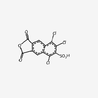 O=C1OC(=O)c2cc3c(Cl)c(S(=O)(=O)O)c(Cl)c(Cl)c3cc21